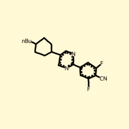 CCCCC1CCC(c2cnc(-c3cc(F)c(C#N)c(F)c3)nc2)CC1